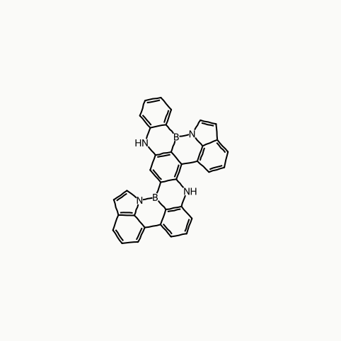 c1ccc2c(c1)Nc1cc3c(c4c1B2n1ccc2cccc-4c21)Nc1cccc2c1B3n1ccc3cccc-2c31